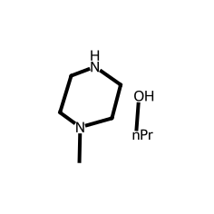 CCCO.CN1CCNCC1